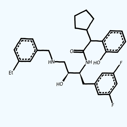 CCc1cccc(CNC[C@H](O)[C@H](Cc2cc(F)cc(F)c2)NC(=O)C(c2ccccc2O)C2CCCC2)c1